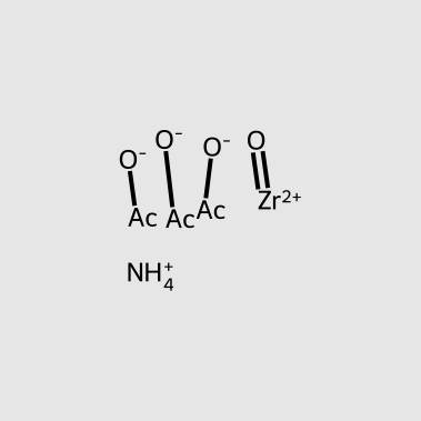 CC(=O)[O-].CC(=O)[O-].CC(=O)[O-].[NH4+].[O]=[Zr+2]